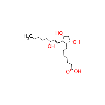 CCCCC[C@H](O)/C=C/[C@@H]1C(C/C=C\CCCC(=O)O)[C@@H](O)C[C@H]1O